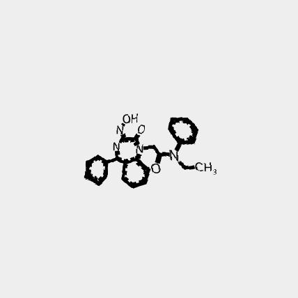 CCN(C(=O)Cn1c(=O)c(=NO)nc(-c2ccccc2)c2ccccc21)c1ccccc1